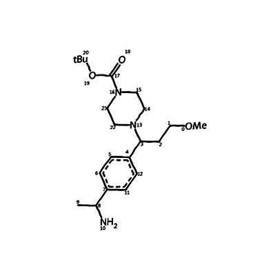 COCCC(c1ccc(C(C)N)cc1)N1CCN(C(=O)OC(C)(C)C)CC1